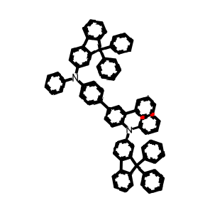 c1ccc(-c2cc(-c3ccc(N(c4ccccc4)c4ccc5c(c4)C(c4ccccc4)(c4ccccc4)c4ccccc4-5)cc3)ccc2N(c2ccccc2)c2ccc3c(c2)C(c2ccccc2)(c2ccccc2)c2ccccc2-3)cc1